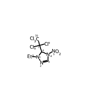 CCN1N=CN([N+](=O)[O-])C1C(Cl)(Cl)C(Cl)(Cl)Cl